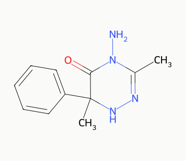 CC1=NNC(C)(c2ccccc2)C(=O)N1N